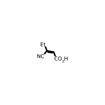 CCC(C#N)=CC(=O)O